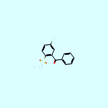 NS(=O)(=O)c1ccc(Cl)cc1C(=O)c1ccccc1